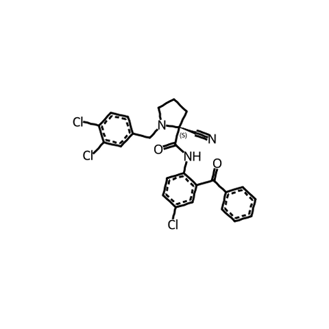 N#C[C@]1(C(=O)Nc2ccc(Cl)cc2C(=O)c2ccccc2)CCCN1Cc1ccc(Cl)c(Cl)c1